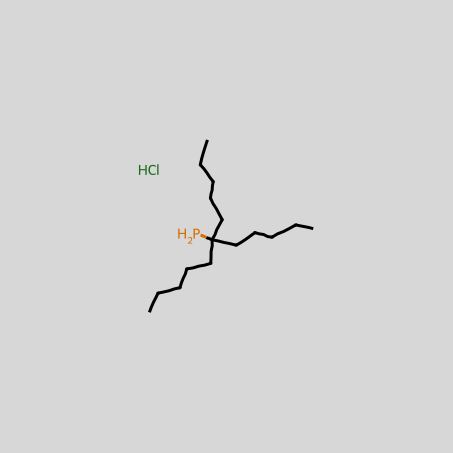 CCCCCC(P)(CCCCC)CCCCC.Cl